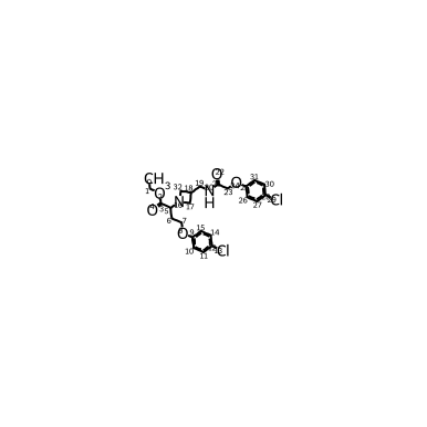 CCOC(=O)C(CCOc1ccc(Cl)cc1)N1CC(CNC(=O)COc2ccc(Cl)cc2)C1